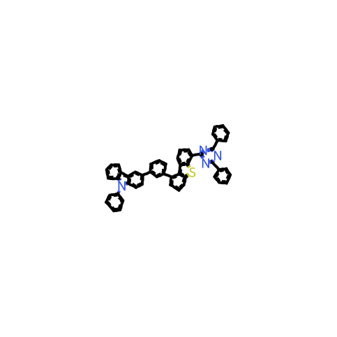 c1ccc(-c2nc(-c3ccccc3)nc(-c3cccc4c3sc3cccc(-c5cccc(-c6ccc7c(c6)c6ccccc6n7-c6ccccc6)c5)c34)n2)cc1